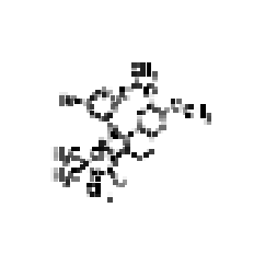 COc1cc2c(cc1OC(C)C)-c1c(c(C(=O)N(C)C(C)(C)C)nn1-c1cccc(Br)c1)CC2